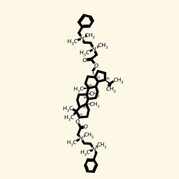 C=C(C)[C@@H]1CC[C@]2(COC(=O)C[N+](C)(C)CC[N+](C)(C)Cc3ccccc3)CC[C@]3(C)C(CCC4[C@@]5(C)CC[C@H](OC(=O)C[N+](C)(C)CC[N+](C)(C)Cc6ccccc6)C(C)(C)C5CC[C@]43C)C12